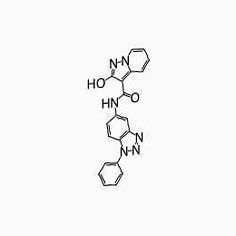 O=C(Nc1ccc2c(c1)nnn2-c1ccccc1)c1c(O)nn2ccccc12